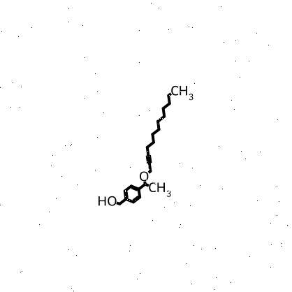 CCCCCCCCCCC#CCOC(C)c1ccc(CO)cc1